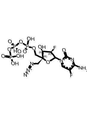 [N-]=[N+]=NC[C@]1(COP(=O)(O)OP(=O)(O)OP(=O)(O)O)OC(n2cc(F)c(N)nc2=O)[C@H](F)[C@@H]1O